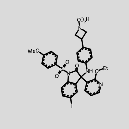 CCOc1ncccc1C1(Nc2ccc(C3CN(C(=O)O)C3)cc2)C(=O)N(S(=O)(=O)c2ccc(OC)cc2)c2ccc(I)cc21